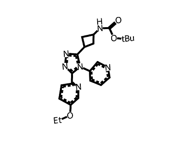 CCOc1ccc(-c2nnc(C3CC(NC(=O)OC(C)(C)C)C3)n2-c2cccnc2)nc1